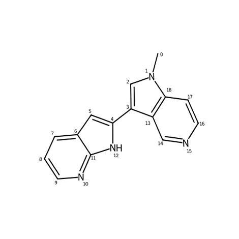 Cn1cc(-c2cc3cccnc3[nH]2)c2cnccc21